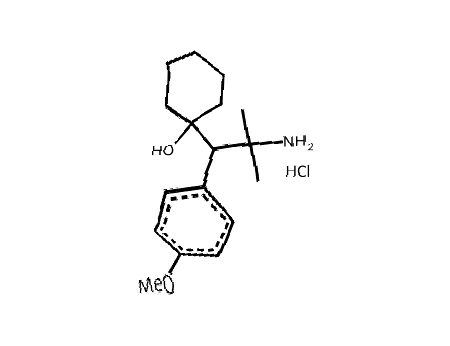 COc1ccc(C(C(C)(C)N)C2(O)CCCCC2)cc1.Cl